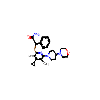 N#Cc1c(SC(C(N)=O)c2ccccc2)nc(N2CCC(N3CCOCC3)CC2)c(C#N)c1C1CC1